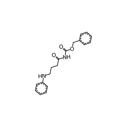 O=C(CCCNc1ccccc1)NC(=O)OCc1ccccc1